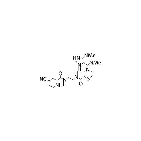 CNC1NCNC1C(NC)N1C=C(C(=O)NCCNC(=O)C2CC(C#N)CCN2)SCC1